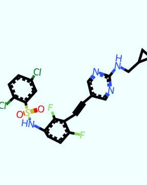 O=S(=O)(Nc1ccc(F)c(C#Cc2cnc(NCC3CC3)nc2)c1F)c1cc(Cl)ccc1Cl